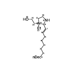 CCCCCCCCCCCCCCCC=CC1NCC[N+]1(CC)CCO